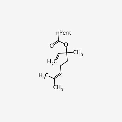 C=CC(C)(CCC=C(C)C)OC(=O)CCCCC